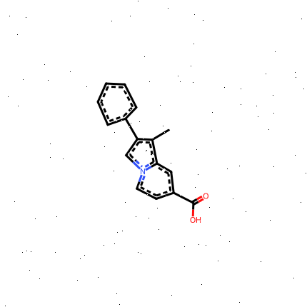 Cc1c(-c2ccccc2)cn2ccc(C(=O)O)cc12